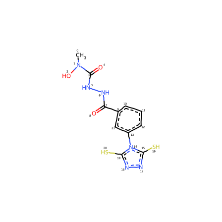 CN(O)C(=O)NNC(=O)c1cccc(-n2c(S)nnc2S)c1